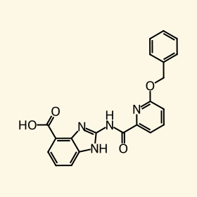 O=C(Nc1nc2c(C(=O)O)cccc2[nH]1)c1cccc(OCc2ccccc2)n1